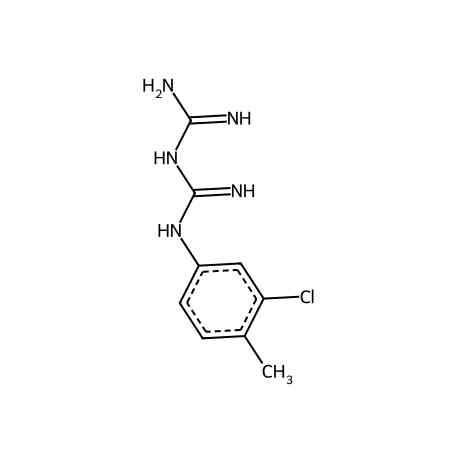 Cc1ccc(NC(=N)NC(=N)N)cc1Cl